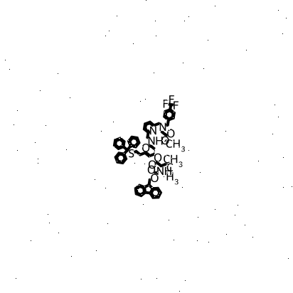 COC(=O)CN(Cc1ccc(C(F)(F)F)cc1)Cc1cccc(CNC(=O)C[C@@H](C=CCCSC(c2ccccc2)(c2ccccc2)c2ccccc2)OC(=O)[C@H](NC(=O)OCC2c3ccccc3-c3ccccc32)C(C)C)n1